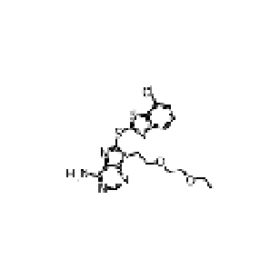 CCOCCOCCn1c(Sc2nc3cccc(Cl)c3s2)nc2c(N)ncnc21